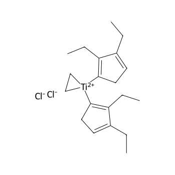 CCC1=CC[C]([Ti+2]2([C]3=C(CC)C(CC)=CC3)[CH2][CH2]2)=C1CC.[Cl-].[Cl-]